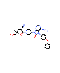 CC(C)(/C=C(/C#N)C(=O)N1CCC(n2c(=O)n(-c3ccc(Oc4ccccc4)cc3)c3c(N)ncnc32)CC1)CO